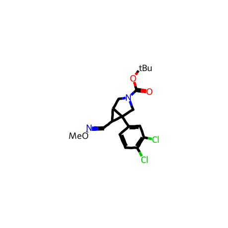 CON=CC1C2CN(C(=O)OC(C)(C)C)CC12c1ccc(Cl)c(Cl)c1